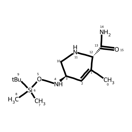 CC1=C[C@@H](NO[Si](C)(C)C(C)(C)C)CN[C@@H]1C(N)=O